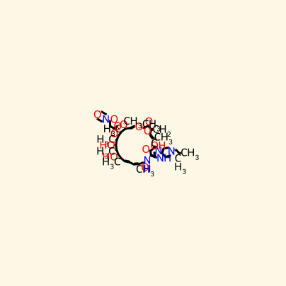 C=C1C(=O)[C@@]2(C)O/C=C/[C@H](OC)[C@@H](C)[C@@H](OC(=O)CC(=O)N3CCOCC3)[C@H](C)[C@H](O)[C@H](C)[C@@H](O)[C@@H](C)/C=C/C=C(/C)C(=O)NC3=C4CN(C5(CCN(CC(C)C)CC5)N4)C(O)(C/C(C)=C\1O2)C3=O